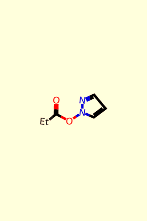 CCC(=O)On1cccn1